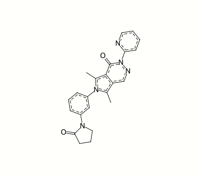 Cc1c2cnn(-c3ccccn3)c(=O)c2c(C)n1-c1cccc(N2CCCC2=O)c1